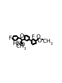 CCOC(=O)c1cccc(-c2ccc3c(c2)C(C(=O)NC)C(c2ccc(F)cc2)O3)c1F